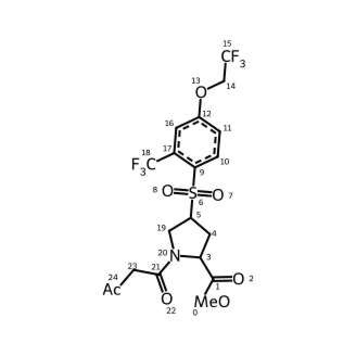 COC(=O)C1CC(S(=O)(=O)c2ccc(OCC(F)(F)F)cc2C(F)(F)F)CN1C(=O)CC(C)=O